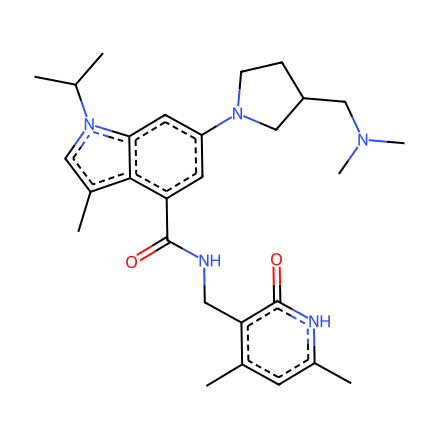 Cc1cc(C)c(CNC(=O)c2cc(N3CCC(CN(C)C)C3)cc3c2c(C)cn3C(C)C)c(=O)[nH]1